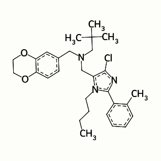 CCCCn1c(-c2ccccc2C)nc(Cl)c1CN(Cc1ccc2c(c1)OCCO2)CC(C)(C)C